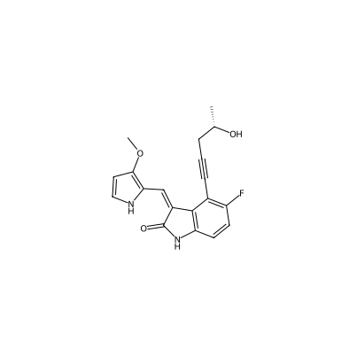 COc1cc[nH]c1/C=C1\C(=O)Nc2ccc(F)c(C#CC[C@H](C)O)c21